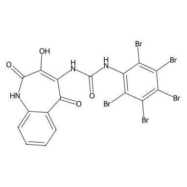 O=C(Nc1c(Br)c(Br)c(Br)c(Br)c1Br)Nc1c(O)c(=O)[nH]c2ccccc2c1=O